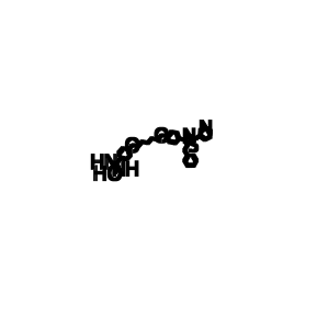 N=C(NO)c1ccc(OCCCCCOc2ccc(-c3nc(-c4cccnc4)sc3Cc3ccccc3)cc2)cc1